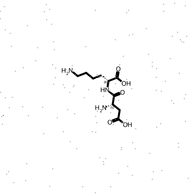 NCCCC[C@@H](NC(=O)[C@@H](N)CC(=O)O)C(=O)O